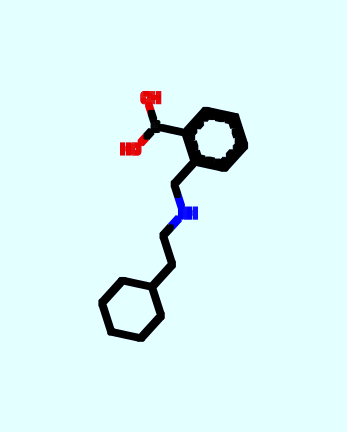 OB(O)c1ccccc1CNCCC1CCCCC1